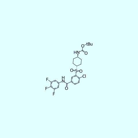 CC(C)(C)OC(=O)N[C@H]1CC[C@H](S(=O)(=O)c2cc(C(=O)Nc3cc(F)c(F)c(F)c3)ccc2Cl)CC1